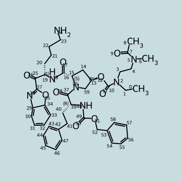 CCN(CCN(C)C(C)=O)C(=O)O[C@@H]1C[C@@H](C(=O)N[C@@H](CCCCN)C(=O)c2nc3ccccc3o2)N(C(=O)[C@@H](CCc2ccccc2)NC(=O)OCc2ccccc2)C1